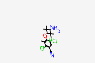 Cc1c(OC2C(C)(C)C(N)C2(C)C)ccc(C#N)c1Cl.Cl